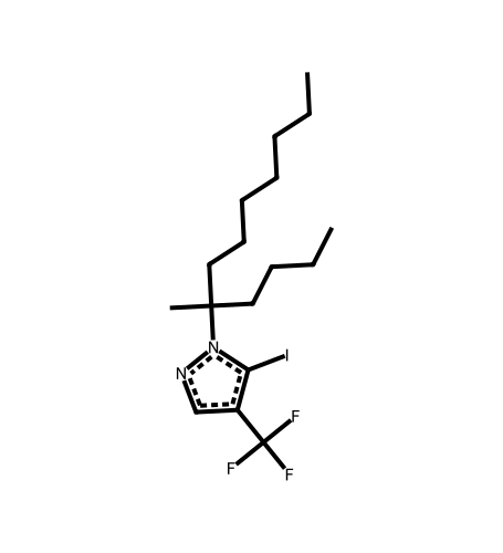 CCCCCCCC(C)(CCCC)n1ncc(C(F)(F)F)c1I